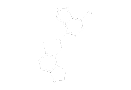 Cc1cnc(NCc2c(F)ccc3c2CCO3)n2cnnc12